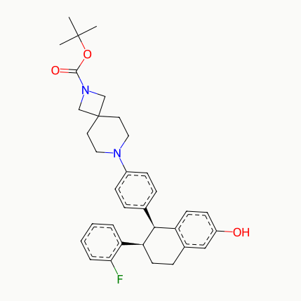 CC(C)(C)OC(=O)N1CC2(CCN(c3ccc([C@H]4c5ccc(O)cc5CC[C@H]4c4ccccc4F)cc3)CC2)C1